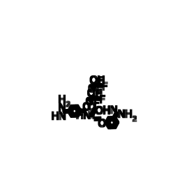 N=C(N)c1ccc(C(=O)N[C@@H](CCOc2cccc(C(=N)N)c2)C(=O)O)cc1.O=C(O)C(F)(F)F.O=C(O)C(F)(F)F